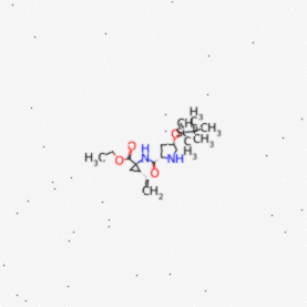 C=C[C@@H]1C[C@]1(NC(=O)[C@@H]1C[C@@H](O[Si](C)(C)C(C)(C)C)CN1)C(=O)OCC